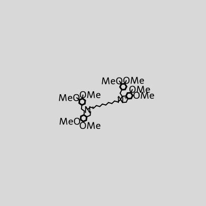 COc1ccc(CC2c3cc(OC)c(OC)cc3CC[N+]2(C)CCCCCCCCCC[N+]2(C)CCc3cc(OC)c(OC)cc3C2Cc2ccc(OC)c(OC)c2)cc1OC